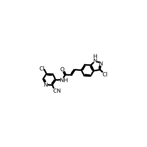 N#Cc1ncc(Cl)cc1NC(=O)/C=C/c1ccc2c(Cl)n[nH]c2c1